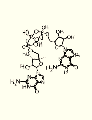 C[n+]1cn([C@@H]2O[C@H](COP(=O)(O)OP(=O)(O)OP(=O)(O)OC[C@@]3(C)O[C@@H](n4cnc5c(=O)[nH]c(N)nc54)[C@H](O)[C@@H]3O)[C@@H](O)[C@H]2O)c2nc(N)[nH]c(=O)c21